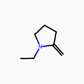 C=C1CCCN1CC